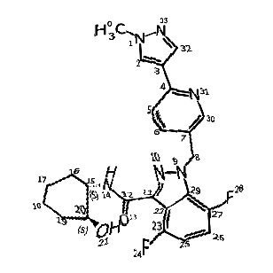 Cn1cc(-c2ccc(Cn3nc(C(=O)N[C@H]4CCCC[C@@H]4O)c4c(F)ccc(F)c43)cn2)cn1